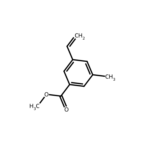 C=Cc1cc(C)cc(C(=O)OC)c1